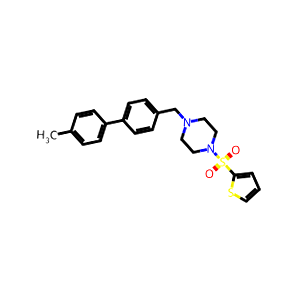 Cc1ccc(-c2ccc(CN3CCN(S(=O)(=O)c4cccs4)CC3)cc2)cc1